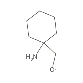 NC1(C[O])CCCCC1